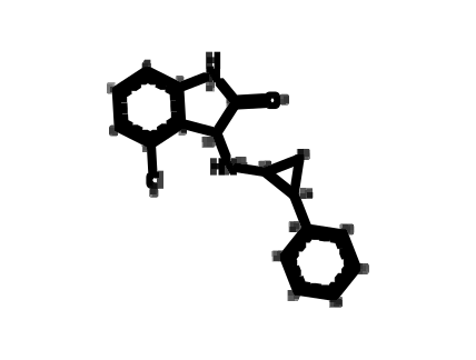 O=C1Nc2cccc(Cl)c2C1NC1CC1c1ccccc1